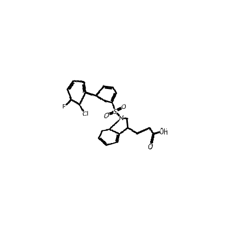 O=C(O)CCC1CN(S(=O)(=O)C2=CC=CC(C3=CC=CC(F)C3Cl)C2)C2CC=CC=C12